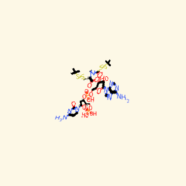 CN(C(=O)SSC(C)(C)C)[C@@H](CSSC(C)(C)C)C(=O)OC1C(COP(=O)(O)O[C@H]2C[C@H](n3ccc(N)nc3=O)O[C@@H]2COP(=O)(O)O)OC(n2cnc3c(N)ncnc32)C1O